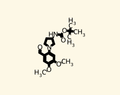 COc1cc(C=O)c(N2CC[C@@H](NC(=O)OC(C)(C)C)C2)cc1OC